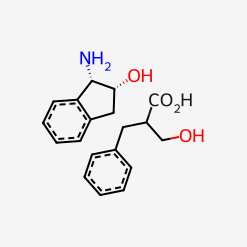 N[C@H]1c2ccccc2C[C@H]1O.O=C(O)C(CO)Cc1ccccc1